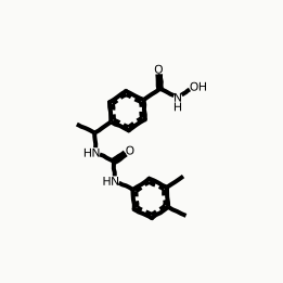 Cc1ccc(NC(=O)NC(C)c2ccc(C(=O)NO)cc2)cc1C